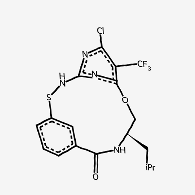 CC(C)C[C@@H]1COc2nc(nc(Cl)c2C(F)(F)F)NSc2cccc(c2)C(=O)N1